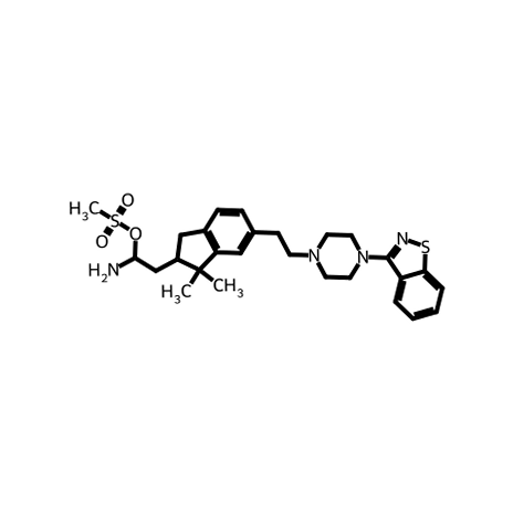 CC1(C)c2cc(CCN3CCN(c4nsc5ccccc45)CC3)ccc2CC1CC(N)OS(C)(=O)=O